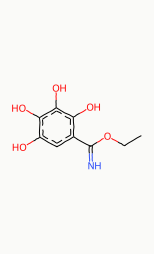 CCOC(=N)c1cc(O)c(O)c(O)c1O